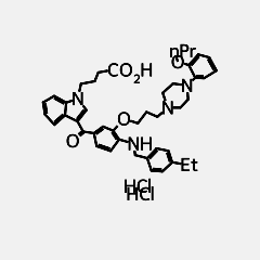 CCCOc1ccccc1N1CCN(CCCOc2cc(C(=O)c3cn(CCCC(=O)O)c4ccccc34)ccc2NCc2ccc(CC)cc2)CC1.Cl.Cl